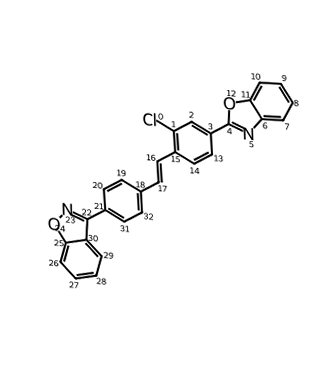 Clc1cc(-c2nc3ccccc3o2)ccc1C=Cc1ccc(-c2noc3ccccc23)cc1